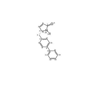 O=C1C=C[C@@H](Cc2ccc(-c3ccccc3)cc2)N1I